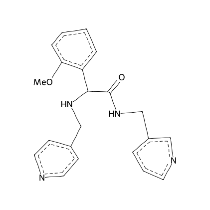 COc1ccccc1C(NCc1ccncc1)C(=O)NCc1cccnc1